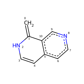 C=C1NC=Cc2ccncc21